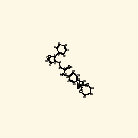 O=C(CCc1cnoc1-c1ccccc1)Nc1ccc(C[PH]2(O)OCCCO2)cc1